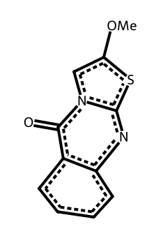 COc1cn2c(=O)c3ccccc3nc2s1